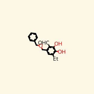 CCc1cc(COCc2ccccc2)c(C=O)c(O)c1O